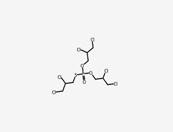 O=P(OCC(Cl)CCl)(OCC(Cl)CCl)SCC(Cl)CCl